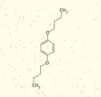 [CH2]CCCOc1ccc(OCCCC)cc1